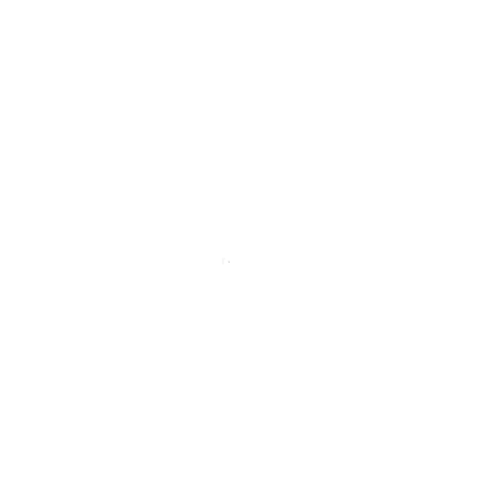 O=C1C=CCCCCN1